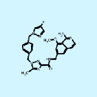 COc1cc(CNC(=O)c2nc(C)n(Cc3ccc(Cn4cc(F)cn4)cc3)n2)cc2ccnc(N)c12